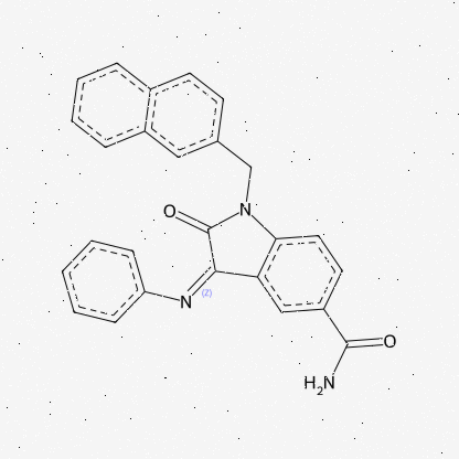 NC(=O)c1ccc2c(c1)/C(=N/c1ccccc1)C(=O)N2Cc1ccc2ccccc2c1